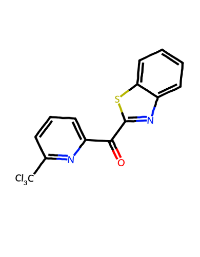 O=C(c1cccc(C(Cl)(Cl)Cl)n1)c1nc2ccccc2s1